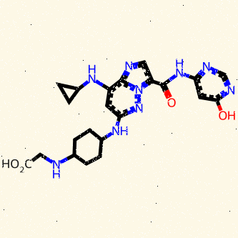 O=C(O)CNC1CCC(Nc2cc(NC3CC3)c3ncc(C(=O)Nc4cc(O)ncn4)n3n2)CC1